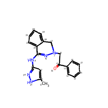 Cc1cc(NC2=NN(CC(=O)c3ccccc3)Cc3ccccc32)n[nH]1